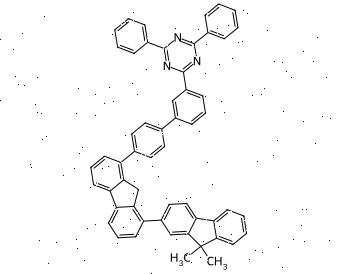 CC1(C)c2ccccc2-c2ccc(-c3cccc4c3Cc3c(-c5ccc(-c6cccc(-c7nc(-c8ccccc8)nc(-c8ccccc8)n7)c6)cc5)cccc3-4)cc21